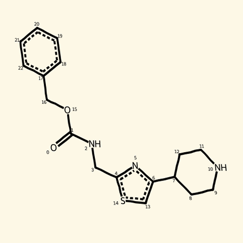 O=C(NCc1nc(C2CCNCC2)cs1)OCc1ccccc1